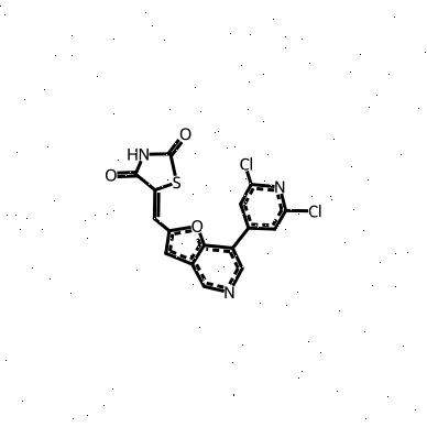 O=C1NC(=O)C(=Cc2cc3cncc(-c4cc(Cl)nc(Cl)c4)c3o2)S1